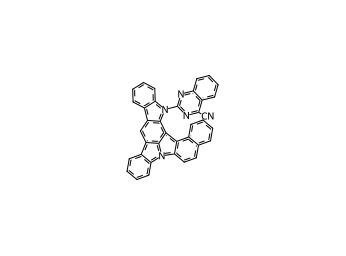 N#Cc1nc(-n2c3ccccc3c3cc4c5ccccc5n5c6ccc7ccccc7c6c(c32)c45)nc2ccccc12